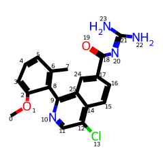 COc1cccc(C)c1-c1ncc(Cl)c2ccc(C(=O)N=C(N)N)cc12